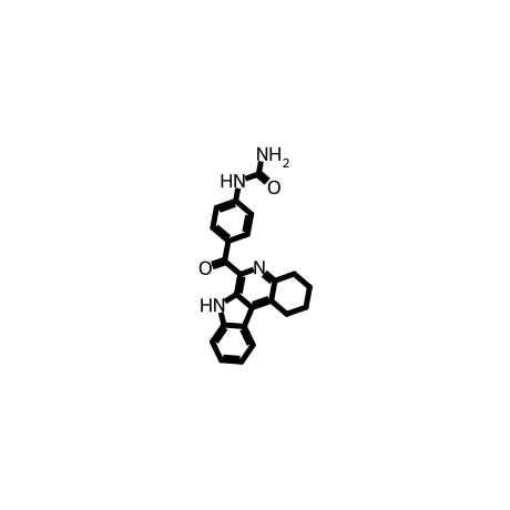 NC(=O)Nc1ccc(C(=O)c2nc3c(c4c2[nH]c2ccccc24)CCCC3)cc1